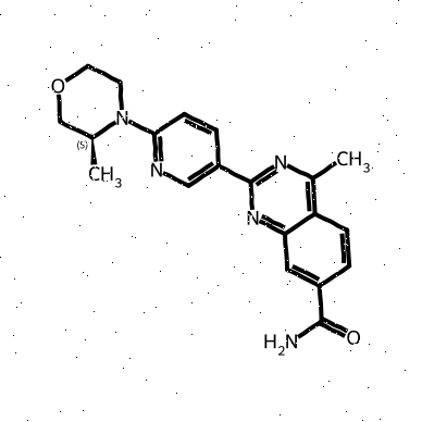 Cc1nc(-c2ccc(N3CCOC[C@@H]3C)nc2)nc2cc(C(N)=O)ccc12